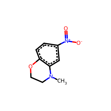 CN1CCOc2ccc([N+](=O)[O-])cc21